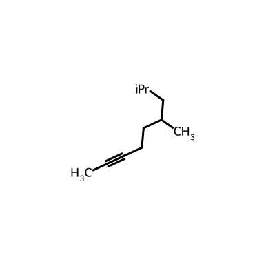 [CH2]C(C)CC(C)CCC#CC